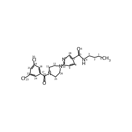 CCCCNC(=O)c1ccc(N2CCN(C(=O)c3cc(Cl)cc(Cl)c3)CC2)nc1